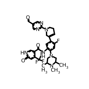 CC1CN(c2cc(F)c(C3=CCCN(c4ncc(C=O)cn4)C3)cc2NC(=O)c2c[nH]c(=O)cc2C(F)(F)F)CC(C)N1C